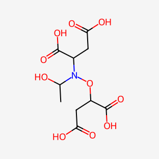 CC(O)N(OC(CC(=O)O)C(=O)O)C(CC(=O)O)C(=O)O